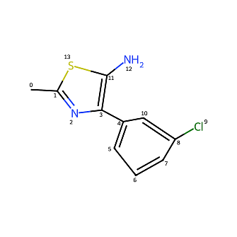 Cc1nc(-c2cccc(Cl)c2)c(N)s1